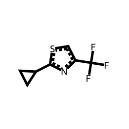 FC(F)(F)c1csc(C2CC2)n1